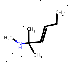 [CH2]CC=CC(C)(C)NC